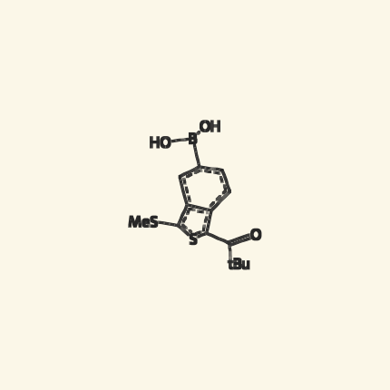 CSc1sc(C(=O)C(C)(C)C)c2ccc(B(O)O)cc12